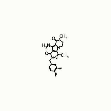 Cc1nn(Cc2ccc(F)c(F)c2)c(=O)c2c(N)c3n(c12)CCN(C)C3=O